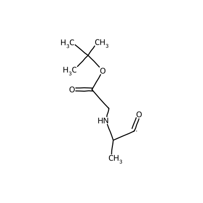 CC([C]=O)NCC(=O)OC(C)(C)C